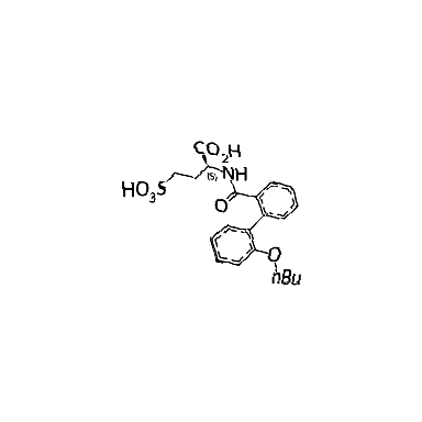 CCCCOc1ccccc1-c1ccccc1C(=O)N[C@@H](CCS(=O)(=O)O)C(=O)O